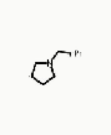 CCCCN1C[CH]CC1